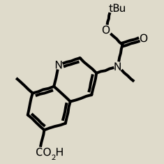 Cc1cc(C(=O)O)cc2cc(N(C)C(=O)OC(C)(C)C)cnc12